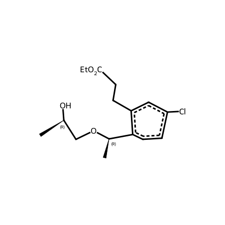 CCOC(=O)CCc1cc(Cl)ccc1[C@@H](C)OC[C@@H](C)O